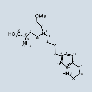 COCCN(CCCCc1ccc2c(n1)NCCC2)CC[C@H](N)C(=O)O